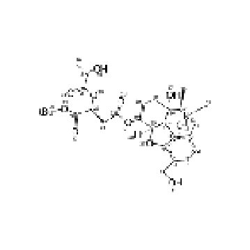 Cc1ccc(CO)c2c1[C@]13CCN(C)[C@H](C)[C@]1(O)CC=C(OC(=O)C[C@H](OC(=O)[C@H](C)O)C(=O)OC(C)(C)C)[C@@H]3O2